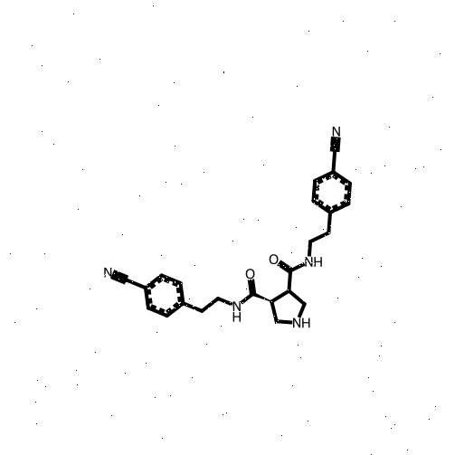 N#Cc1ccc(CCNC(=O)C2CNC[C@H]2C(=O)NCCc2ccc(C#N)cc2)cc1